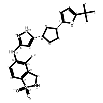 CC(C)(C)c1ccc([C@@H]2CC[C@H](c3cc(Nc4ccc5c(c4F)CNS5(=O)=O)n[nH]3)C2)o1